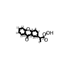 CC(C(=O)OO)c1ccc2oc3ccccc3c(=O)c2c1